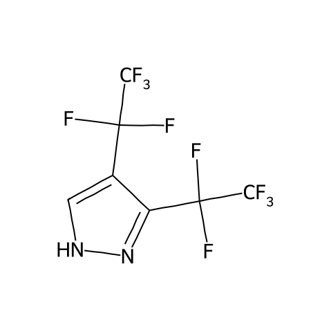 FC(F)(F)C(F)(F)c1c[nH]nc1C(F)(F)C(F)(F)F